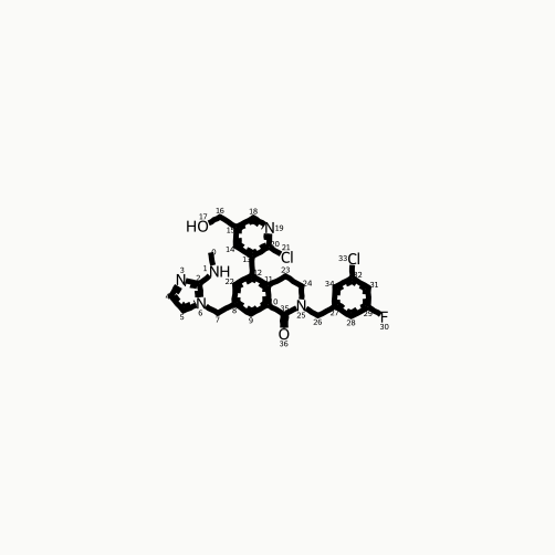 CNc1nccn1Cc1cc2c(c(-c3cc(CO)cnc3Cl)c1)CCN(Cc1cc(F)cc(Cl)c1)C2=O